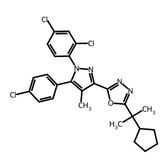 Cc1c(-c2nnc(C(C)(C)C3CCCC3)o2)nn(-c2ccc(Cl)cc2Cl)c1-c1ccc(Cl)cc1